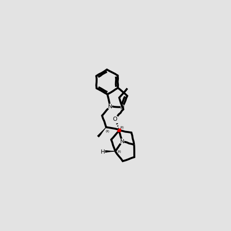 CCCO[C@@H]1CC2CC[C@H](C1)N2C[C@@H](C)Cn1ncc2ccccc21